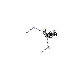 CCCCCCCC/C=C\CCCCCCCC(=O)OCC(COS(=O)(=O)NCCN(C)C)OC(=O)CCCCCCC/C=C\CCCCCCCC